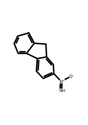 N=[N+]([O-])c1ccc2c(c1)Cc1ccccc1-2